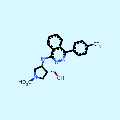 O=C(O)N1C[C@@H](CO)[C@H](Nc2nnc(-c3ccc(C(F)(F)F)cc3)c3ccccc23)C1